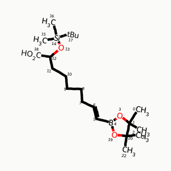 CC1(C)OB(C=CCCCCCC(O[Si](C)(C)C(C)(C)C)C(=O)O)OC1(C)C